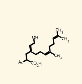 CC(=O)C(CC(=CCO)CCC=C(C)CCC=C(C)C)C(=O)O